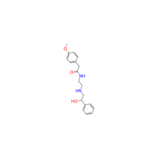 COc1ccc(CC(=O)NCCNCC(O)c2ccccc2)cc1